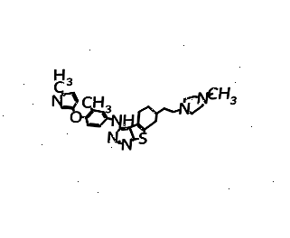 Cc1ccc(Oc2ccc(Nc3ncnc4sc5c(c34)CCC(CCN3CCN(C)CC3)C5)cc2C)cn1